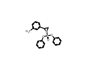 Cc1cccc(C2CN2P(=O)(Oc2ccccc2)Oc2ccccc2)c1